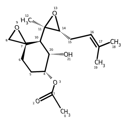 CC(=O)O[C@@H]1CC[C@]2(CO2)[C@@H]([C@@]2(C)O[C@@H]2CC=C(C)C)[C@@H]1O